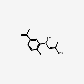 C=C(C)c1cc(N(/C=C(\C)C(C)(C)C)CC)c(C)cn1